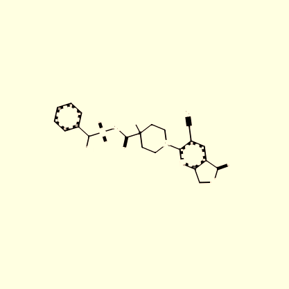 CC(c1ccccc1)S(=O)(=O)NC(=O)C1(F)CCN(c2nc3c(cc2C#N)C(=O)OC3)CC1